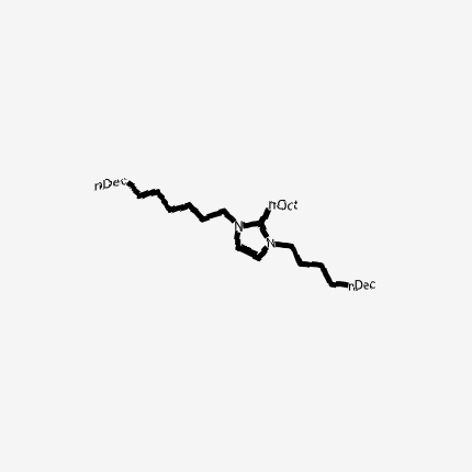 CCCCCCCCCCCCCCCCN1C=CN(CCCCCCCCCCCCCC)C1CCCCCCCC